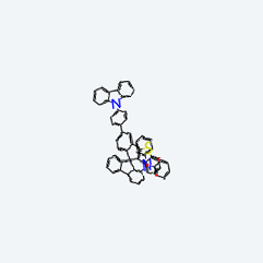 c1ccc(N(c2ccccc2)c2cccc3c2C2(c4ccccc4-3)c3ccc(-c4ccc(-n5c6ccccc6c6ccccc65)cc4)cc3-c3sc4ccccc4c32)cc1